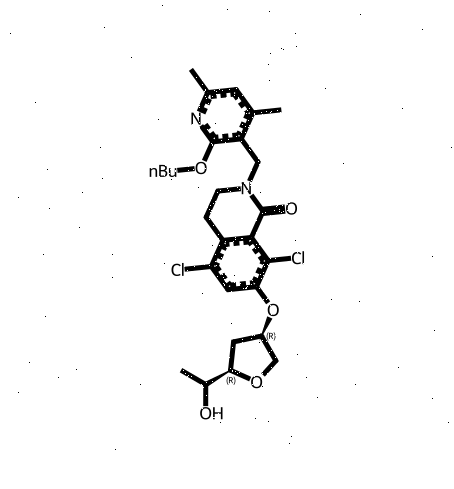 CCCCOc1nc(C)cc(C)c1CN1CCc2c(Cl)cc(O[C@H]3CO[C@@H](C(C)O)C3)c(Cl)c2C1=O